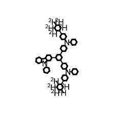 [2H]c1c([2H])c([2H])c(-c2ccc(N(c3ccccc3)c3ccc(-c4cc(-c5ccc(N(c6ccccc6)c6ccc(-c7c([2H])c([2H])c([2H])c([2H])c7[2H])cc6)cc5)cc(-c5ccc6c7ccccc7n(-c7ccccc7)c6c5)c4)cc3)cc2)c([2H])c1[2H]